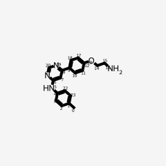 Cc1ccc(Nc2cc(-c3ccc(OCCN)cc3)ncn2)cc1